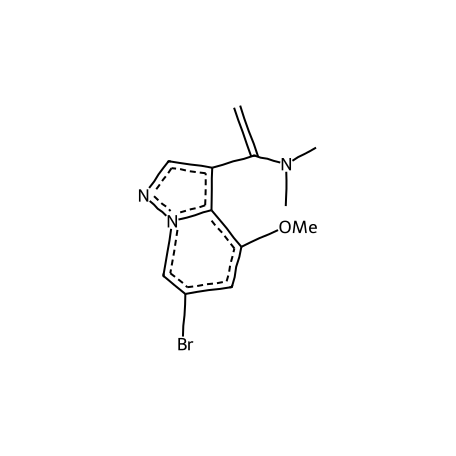 C=C(c1cnn2cc(Br)cc(OC)c12)N(C)C